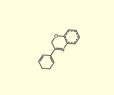 C1=CC(C2=Nc3ccccc3OC2)=CCC1